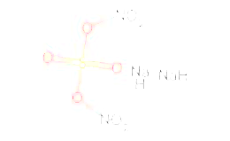 O=[N+]([O-])OS(=O)(=O)O[N+](=O)[O-].[NaH].[NaH]